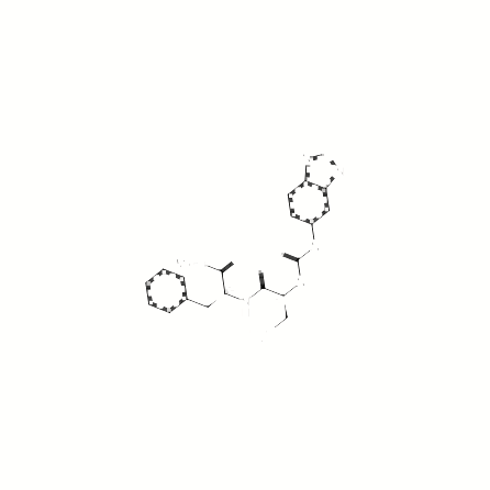 COC(=O)[C@H](Cc1ccccc1)NC(=O)[C@H](CC(=O)O)NC(=O)Nc1ccc2nonc2c1